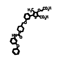 Cc1c(-c2cccc(OCC3CCN(C(=O)Nc4cccc(Oc5ccccc5)c4)CC3)c2)sc(C(=O)O)c1OCC(=O)O